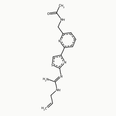 C=CCN/C(N)=N/c1nc(-c2cccc(CNC(C)=O)n2)cs1